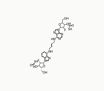 O=[PH](S)O[C@@H]1[C@@H](CO)OC(n2cnc3c(NC/C=C/CNc4ncnc5c4ncn5C4OC(CO)[C@@H](O[PH](=O)S)[C@H]4F)cccc32)[C@@H]1F